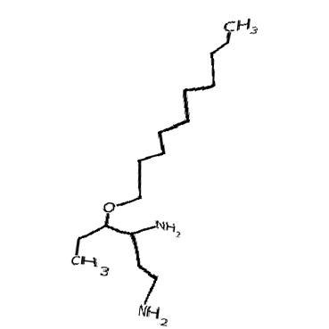 CCCCCCCCCCOC(CC)C(N)CCN